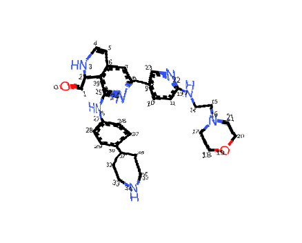 O=CC1NC=Cc2cc(-c3ccc(NCCN4CCOCC4)nc3)nc(Nc3ccc(C4CCNCC4)cc3)c21